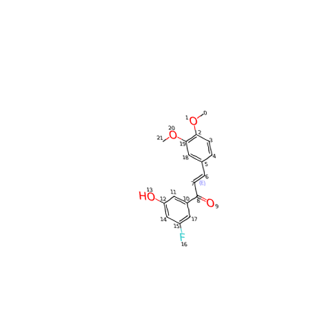 COc1ccc(/C=C/C(=O)c2cc(O)cc(F)c2)cc1OC